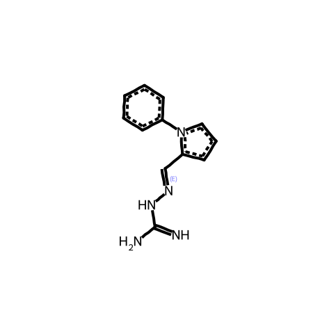 N=C(N)N/N=C/c1cccn1-c1ccccc1